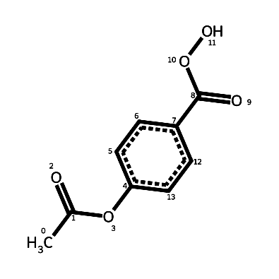 CC(=O)Oc1ccc(C(=O)OO)cc1